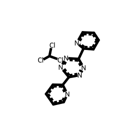 ClC(Cl)Cl.c1ccc(-c2nnc(-c3ccccn3)nn2)nc1